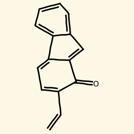 C=CC1=CC=C2C(=Cc3ccccc32)C1=O